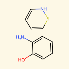 C1=CNSC=C1.Nc1ccccc1O